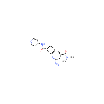 CCCN(CCC)C(=O)C1=Cc2ccc(C(=O)Nc3ccncc3)cc2N=C(N)C1